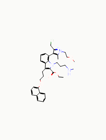 CCOC(=O)c1c(CCCOc2cccc3ccccc23)c2cccc(-c3c(CBr)nn(CCOC)c3C)c2n1CCCNC